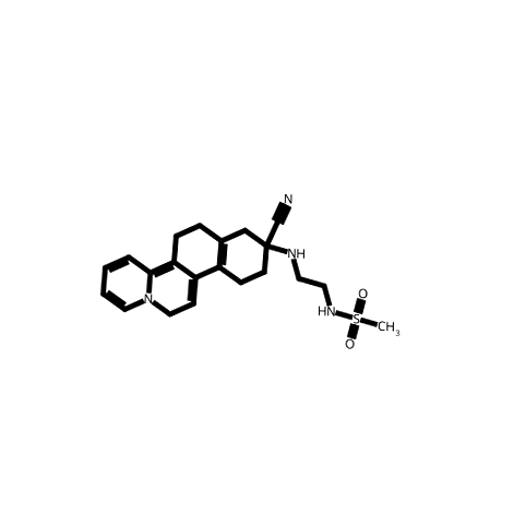 CS(=O)(=O)NCCNC1(C#N)CCC2=C(CCC3=C4C=CC=CN4CC=C23)C1